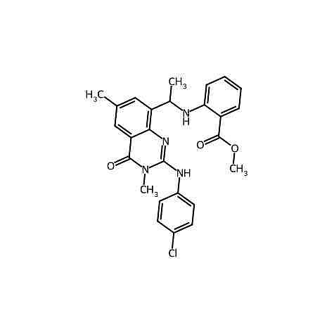 COC(=O)c1ccccc1NC(C)c1cc(C)cc2c(=O)n(C)c(Nc3ccc(Cl)cc3)nc12